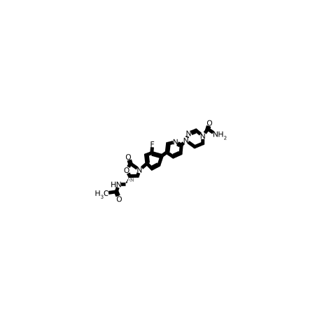 CC(=O)NC[C@H]1CN(c2ccc(-c3ccc(N4CCN(C(N)=O)C=N4)nc3)c(F)c2)C(=O)O1